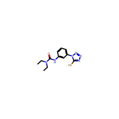 CCN(CC)C(=O)Nc1cccc(-n2nnnc2S)c1